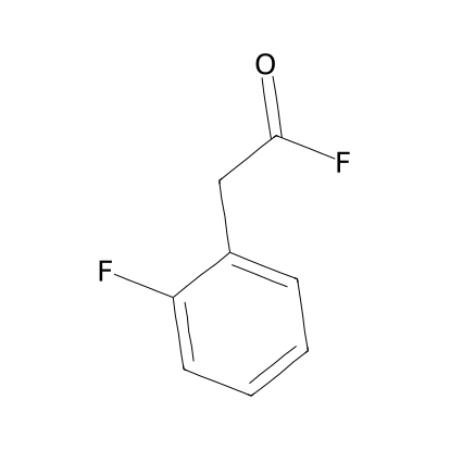 O=C(F)Cc1ccccc1F